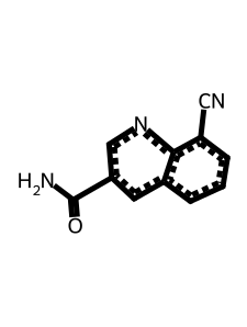 N#Cc1cccc2cc(C(N)=O)cnc12